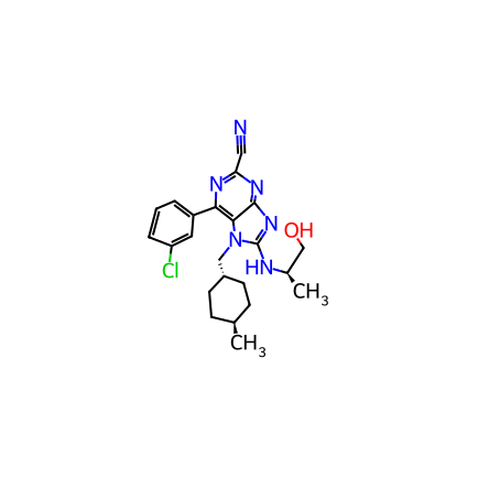 C[C@H](CO)Nc1nc2nc(C#N)nc(-c3cccc(Cl)c3)c2n1C[C@H]1CC[C@H](C)CC1